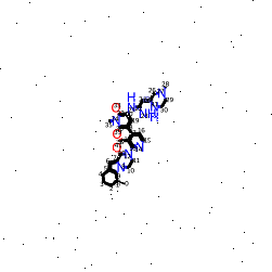 C[C@H]1CCCc2cc3n(c21)CCN(c1nccc(-c2cc(NC(=N)/C=C4/CN(C)CCN4)c(=O)n(C)c2)c1C=O)C3=O